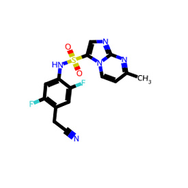 Cc1ccn2c(S(=O)(=O)Nc3cc(F)c(CC#N)cc3F)cnc2n1